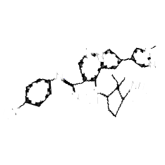 Cn1cc(-c2cc3c(NC4CC[C@](C)(N)C4(C)C)c(/C(N)=N/c4ccc(N)cc4)cnn3c2)cn1